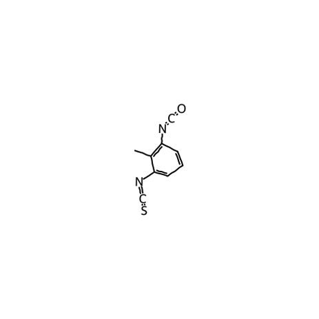 Cc1c(N=C=O)cccc1N=C=S